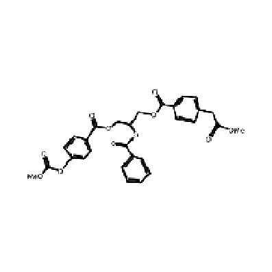 COC(=O)Cc1ccc(C(=O)OCC(COC(=O)c2ccc(OC(=O)OC)cc2)OC(=O)c2ccccc2)cc1